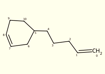 C=CCCCC1CC=CCC1